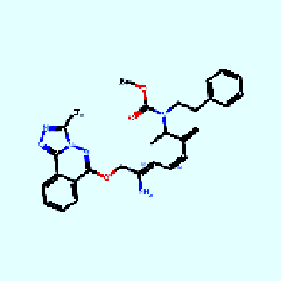 C=C(/C=C\C=C(/N)COc1nn2c(C(F)(F)F)nnc2c2ccccc12)C(C)N(CCc1ccccc1)C(=O)OC(C)(C)C